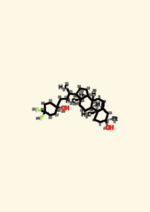 CC[C@]1(O)CC[C@@]2(C)C(=CC[C@H]3[C@@H]4CC[C@H]([C@H](C)CCC5(O)CCC(F)(F)CC5)[C@@]4(C)CC[C@@H]32)C1